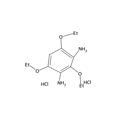 CCOc1cc(OCC)c(N)c(OCC)c1N.Cl.Cl